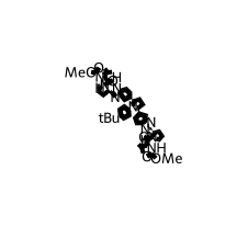 COC(=O)NC(C(=O)N1CCC[C@H]1c1nc2cc([C@@H]3CC[C@@H](c4ccc5[nH]c([C@@H]6CCCN6C(=O)C(NC(=O)OC)=C(C)C)nc5c4)N3c3ccc(C(C)(C)C)cc3)ccc2[nH]1)=C(C)C